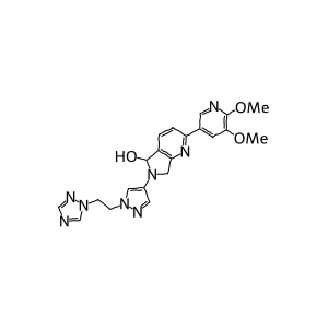 COc1cc(-c2ccc3c(n2)CN(c2cnn(CCn4cncn4)c2)C3O)cnc1OC